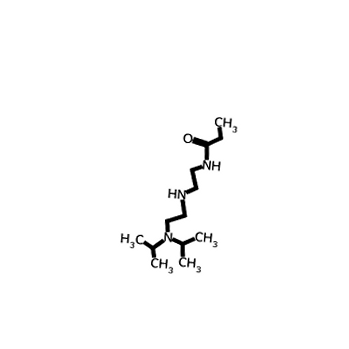 CCC(=O)NCCNCCN(C(C)C)C(C)C